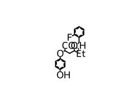 CCC(CC(Oc1ccc(O)cc1)C(=O)O)OCc1ccccc1F